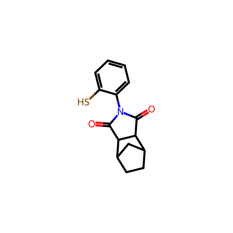 O=C1C2C3CCC(C3)C2C(=O)N1c1ccccc1S